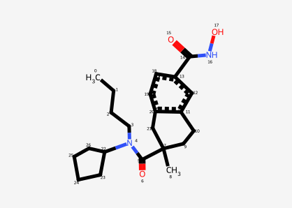 CCCCN(C(=O)C1(C)CCc2cc(C(=O)NO)ccc2C1)C1CCCC1